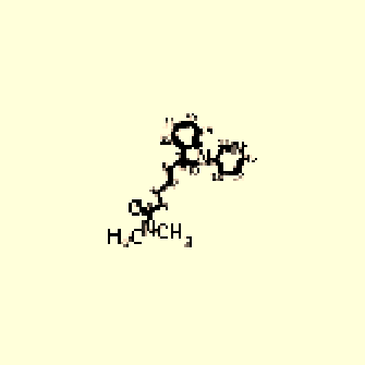 CN(C)C(=O)CCCCc1cn(-c2cccnc2)c2ccccc12